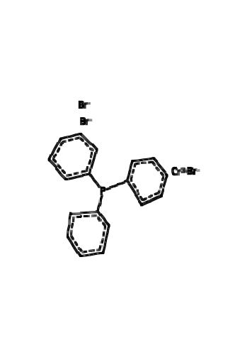 [Br-].[Br-].[Br-].[Cr+3].c1ccc(P(c2ccccc2)c2ccccc2)cc1